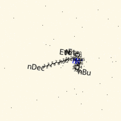 CCCCCCCCCCCCCCCCCCCCCC=CCCCc1ccccc1C1=C(C)C=C(c2cccc(CCCC)c2)[N+]1=[N-].C[CH2][Ni][CH2]C